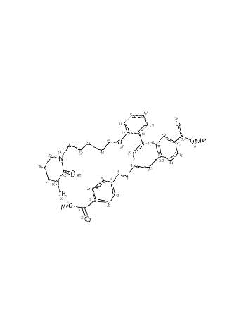 COC(=O)c1ccc(CCC(/C=C/c2ccccc2OCCCCCN2CCCN(C)C2=O)Cc2ccc(C(=O)OC)cc2)cc1